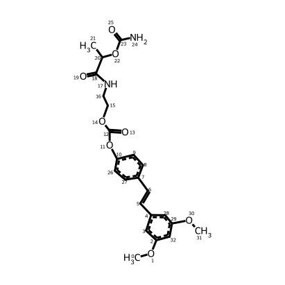 COc1cc(C=Cc2ccc(OC(=O)OCCNC(=O)C(C)OC(N)=O)cc2)cc(OC)c1